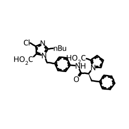 CCCCc1nc(Cl)c(C(=O)O)n1Cc1ccc(NC(=O)[C@H](Cc2ccccc2)n2cccc2C(=O)O)cc1